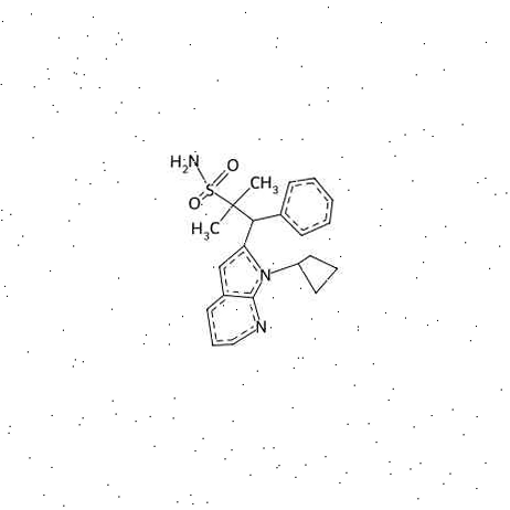 CC(C)(C(c1ccccc1)c1cc2cccnc2n1C1CCC1)S(N)(=O)=O